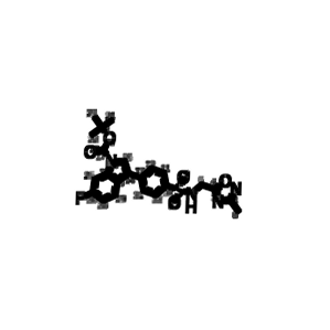 Cc1noc(CNS(=O)(=O)c2ccc(-c3cn(C(=O)OC(C)(C)C)c4cc(F)ccc34)cc2)n1